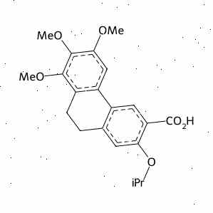 COc1cc2c(c(OC)c1OC)CCc1cc(OC(C)C)c(C(=O)O)cc1-2